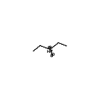 CCCCCCCC/C=C\CCCCCCCC(=O)CC(C(=O)CCCCCCC/C=C\CCCCCCCC)C(C)NCCC(=O)OC